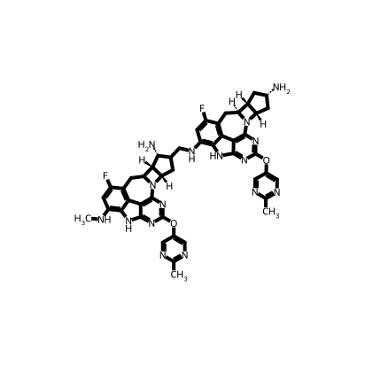 CNc1cc(F)c2c3c1[nH]c1nc(Oc4cnc(C)nc4)nc(c13)N1C(C2)[C@@H]2[C@H](N)C(CNc3cc(F)c4c5c3[nH]c3nc(Oc6cnc(C)nc6)nc(c35)N3[C@@H](C4)[C@@H]4C[C@H](N)C[C@@H]43)C[C@@H]21